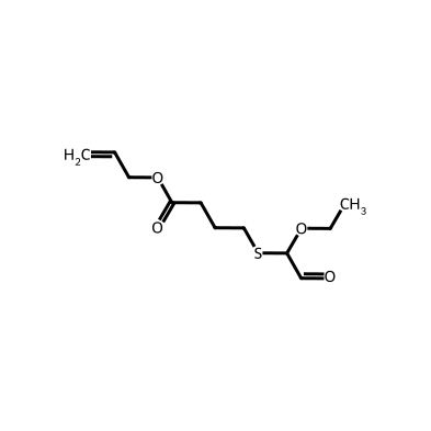 C=CCOC(=O)CCCSC(C=O)OCC